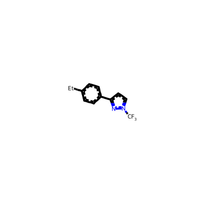 CCc1ccc(-c2ccn(C(F)(F)F)n2)cc1